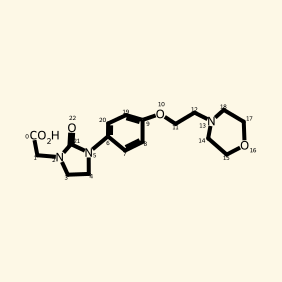 O=C(O)CN1CCN(c2ccc(OCCN3CCOCC3)cc2)C1=O